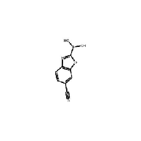 N#Cc1ccc2nc(B(O)O)oc2c1